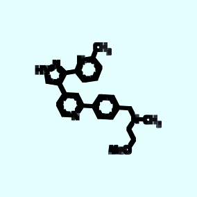 COCCN(C)Cc1ccc(-c2cc(-c3c[nH]nc3-c3cccc(C)n3)ccn2)cc1